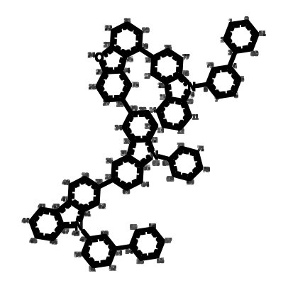 c1ccc(-c2cccc(-n3c4ccccc4c4cc(-c5cccc6oc7ccc(-c8ccc9c(c8)c8cc(-c%10ccc%11c%12ccccc%12n(-c%12cccc(-c%13ccccc%13)c%12)c%11c%10)ccc8n9-c8ccccc8)cc7c56)ccc43)c2)cc1